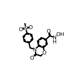 CS(=O)(=O)c1ccc(CN2C(=O)COc3cc(C(=O)NO)ccc32)cc1